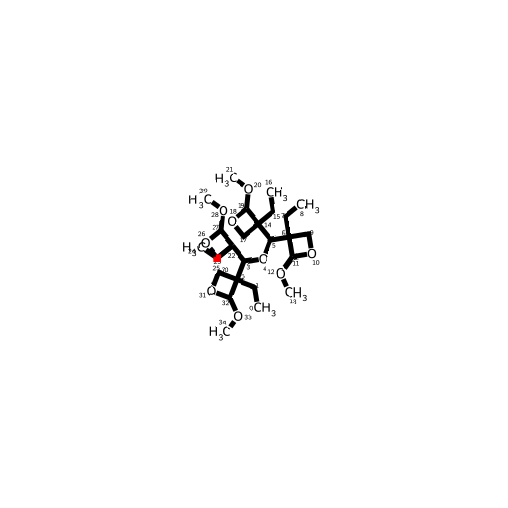 CCC1(C(OC(C2(CC)COC2OC)C2(CC)COC2OC)C2(CC)COC2OC)COC1OC